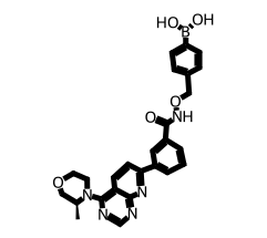 C[C@H]1COCCN1c1ncnc2nc(-c3cccc(C(=O)NOCc4ccc(B(O)O)cc4)c3)ccc12